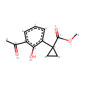 COC(=O)C1(c2cccc(C(C)=O)c2O)CC1